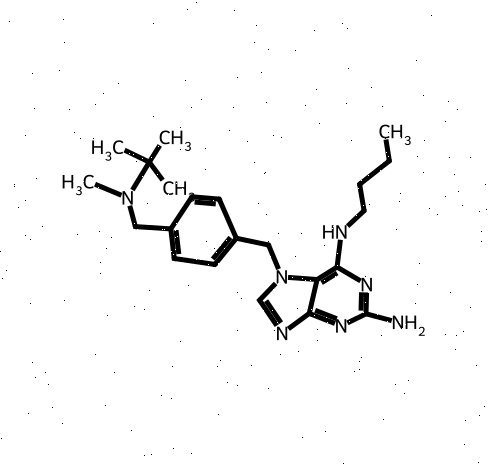 CCCCNc1nc(N)nc2ncn(Cc3ccc(CN(C)C(C)(C)C)cc3)c12